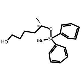 C[C@@H](CCCCO)O[Si](c1ccccc1)(c1ccccc1)C(C)(C)C